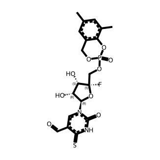 Cc1cc(C)c2c(c1)COP(=O)(OC[C@@]1(F)O[C@@H](n3cc(C=O)c(=S)[nH]c3=O)[C@H](O)[C@@H]1O)O2